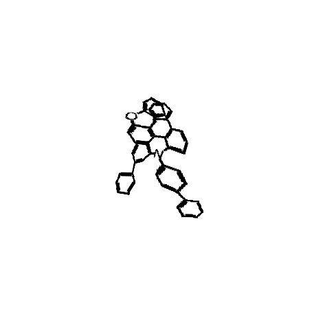 c1ccc(-c2ccc(N(c3cccc(-c4ccccc4)c3)c3cccc(-c4ccccc4)c3-c3cccc4oc5ccccc5c34)cc2)cc1